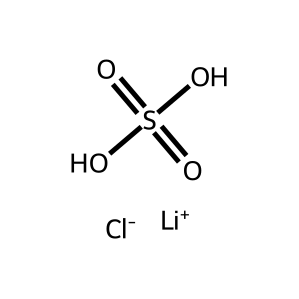 O=S(=O)(O)O.[Cl-].[Li+]